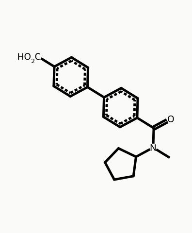 CN(C(=O)c1ccc(-c2ccc(C(=O)O)cc2)cc1)C1CCCC1